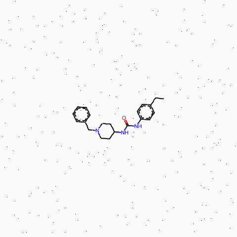 CCc1ccc(NC(=O)NC2CCN(Cc3ccccc3)CC2)cc1